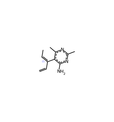 C=C/C(=C/C)c1c(C)nc(C)nc1N